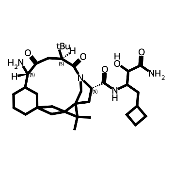 CC(C)(C)[C@@H]1CC(=O)[C@@H](N)C2CCCC3(C2)CC2(C3)C(C)(C)C23C[C@@H](C(=O)NC(CC2CCC2)C(O)C(N)=O)N(C3)C1=O